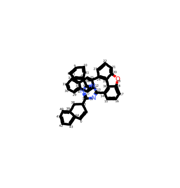 C1=CC(c2nc(-c3ccccc3)nc(-c3cccc4oc5cccc(-c6ccc7ccccc7c6)c5c34)n2)Cc2ccccc21